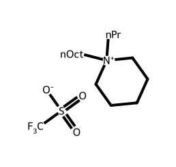 CCCCCCCC[N+]1(CCC)CCCCC1.O=S(=O)([O-])C(F)(F)F